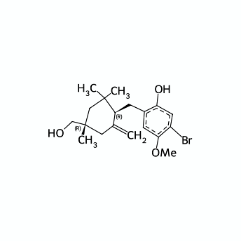 C=C1C[C@](C)(CO)CC(C)(C)[C@H]1Cc1cc(OC)c(Br)cc1O